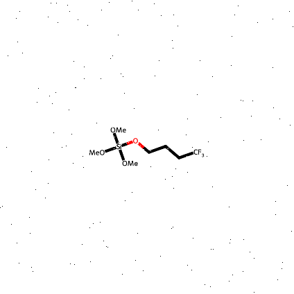 CO[Si](OC)(OC)OCCCC(F)(F)F